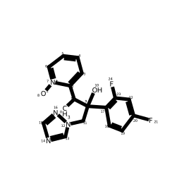 CC(c1cccc[n+]1[O-])C(O)(Cn1cncn1)c1ccc(F)cc1F